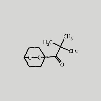 CC(C)(C)C(=O)C12CCC(CC1)CC2